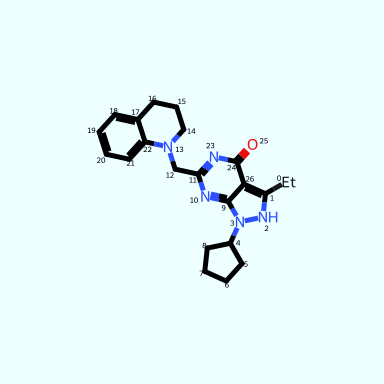 CCc1[nH]n(C2CCCC2)c2nc(CN3CCCc4ccccc43)nc(=O)c1-2